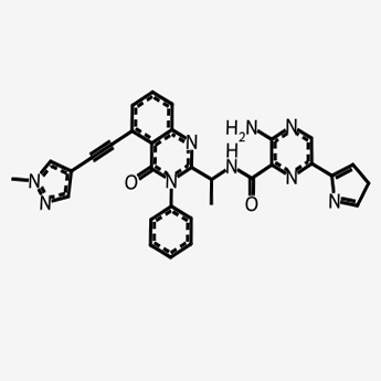 CC(NC(=O)c1nc(C2=CCC=N2)cnc1N)c1nc2cccc(C#Cc3cnn(C)c3)c2c(=O)n1-c1ccccc1